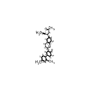 CC#CC(CC(C)=O)c1ccc2c(c1)CCC(c1cc(-c3ccc(C)nc3C)ccc1F)O2